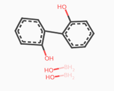 BO.BO.Oc1ccccc1-c1ccccc1O